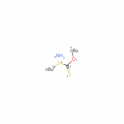 CCCCOC(=S)SCCCC.N